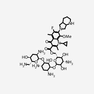 COc1c(N2CC3CCCNC3C2)c(F)c(C)c2c(=O)c(C(=O)OC[C@H]3O[C@H](O[C@@H]4[C@@H](O)[C@H](O[C@H]5O[C@H](CN)[C@@H](O)C[C@H]5N)[C@@H](N)C[C@H]4N)[C@H](O)[C@@H](N)[C@@H]3O)c(C)n(C3CC3)c12